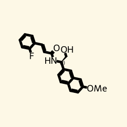 COc1ccc2ccc([C@H](CO)NC(=O)C=Cc3ccccc3F)cc2c1